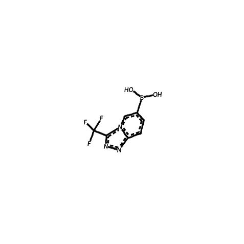 OB(O)c1ccc2nnc(C(F)(F)F)n2c1